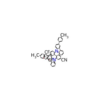 Cc1ccc(-c2ccc3c(c2)c2ccccc2n3-c2ccc(-c3c(C(F)(F)F)cccc3C(F)(F)F)cc2-c2ccc(C#N)cc2-n2c3ccccc3c3cc(-c4ccc(C)cc4)ccc32)cc1